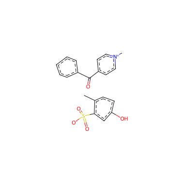 C[n+]1ccc(C(=O)c2ccccc2)cc1.Cc1ccc(O)cc1S(=O)(=O)[O-]